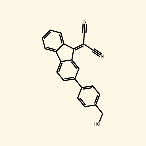 N#CC(C#N)=C1c2ccccc2-c2ccc(-c3ccc(CO)cc3)cc21